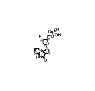 O=c1[nH]c2nccn2c2c1ncn2[C@H]1C[C@H](F)[C@@H](COP(=O)(O)S)O1